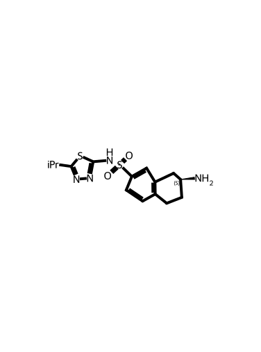 CC(C)c1nnc(NS(=O)(=O)c2ccc3c(c2)C[C@@H](N)CC3)s1